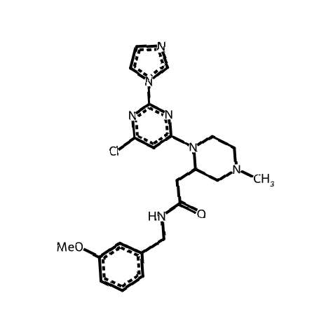 COc1cccc(CNC(=O)CC2CN(C)CCN2c2cc(Cl)nc(-n3ccnc3)n2)c1